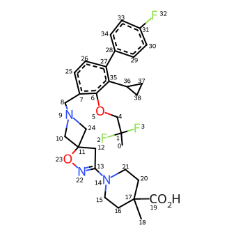 CC(F)(F)COc1c(CN2CC3(CC(N4CCC(C)(C(=O)O)CC4)=NO3)C2)ccc(-c2ccc(F)cc2)c1C1CC1